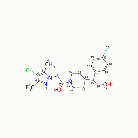 Cc1c(Cl)c(C(F)(F)F)nn1CC(=O)N1CCC(C(CO)c2ccc(F)cc2)CC1